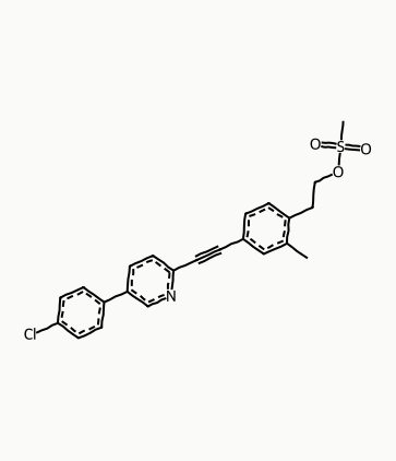 Cc1cc(C#Cc2ccc(-c3ccc(Cl)cc3)cn2)ccc1CCOS(C)(=O)=O